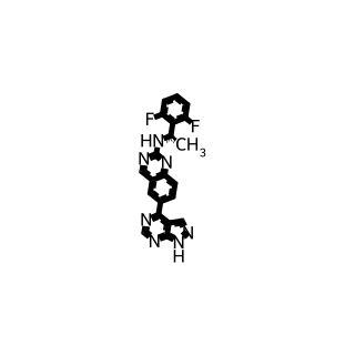 C[C@@H](Nc1ncc2cc(-c3ncnc4[nH]ncc34)ccc2n1)c1c(F)cccc1F